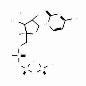 Cc1ccn([C@@H]2O[C@](F)(COP(=O)(O)OP(=O)(O)OP(=O)(O)O)C(O)[C@@]2(C)F)c(=S)n1